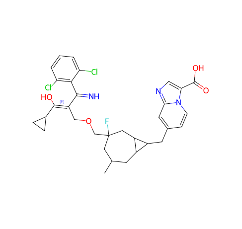 CC1CC2C(Cc3ccn4c(C(=O)O)cnc4c3)C2CC(F)(COC/C(C(=N)c2c(Cl)cccc2Cl)=C(/O)C2CC2)C1